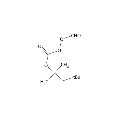 CC(C)(C)CC(C)(C)OC(=O)OOC=O